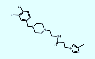 Cc1cn(CCC(=O)NCCN2CCN(Cc3ccc(Cl)c(Cl)c3)CC2)cn1